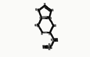 CCOC(=O)NC1CSc2sccc2C1